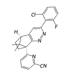 CC1(C)[C@H]2CC[C@]1(c1cccc(C#N)n1)c1nnc(-c3c(F)cccc3Cl)cc12